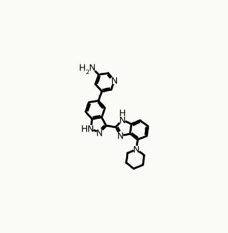 Nc1cncc(-c2ccc3[nH]nc(-c4nc5c(N6CCCCC6)cccc5[nH]4)c3c2)c1